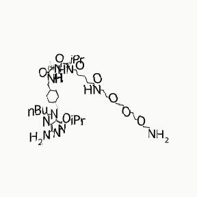 CCCCc1nc2c(N)nnc(OC(C)C)c2n1C[C@H]1CC[C@H](CNC(=O)[C@H](C)NC(=O)[C@@H](NC(=O)CCCC(=O)NCCOCCOCCOCCN)C(C)C)CC1